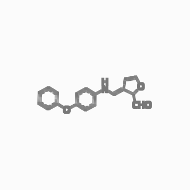 O=CC1OC=CC1=CNc1ccc(Oc2ccccc2)cc1